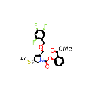 COC(=O)c1ccccc1OC(=O)N1C[C@H](SC(C)=O)C[C@H]1COCc1cc(F)c(F)cc1F